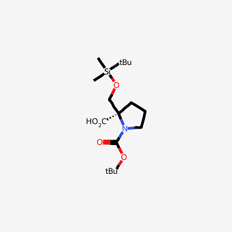 CC(C)(C)OC(=O)N1CCC[C@@]1(CO[Si](C)(C)C(C)(C)C)C(=O)O